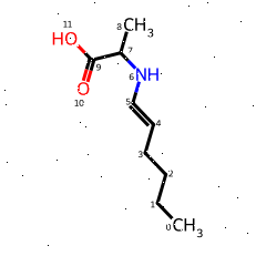 CCCCC=CNC(C)C(=O)O